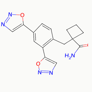 NC(=O)C1(Cc2ccc(-c3cnno3)cc2-c2cnno2)CCC1